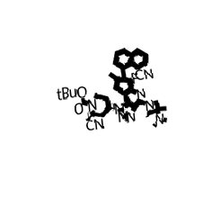 Cc1cc2c(nc(N3CC(C)(N(C)C)C3)c3nnn([C@H]4CCN(C(=O)OC(C)(C)C)[C@H](CC#N)C4)c32)c(F)c1-c1cccc2cccc(C#N)c12